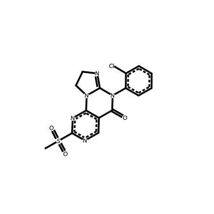 CS(=O)(=O)c1ncc2c(n1)N1CCN=C1N(c1ccccc1Cl)C2=O